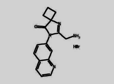 Br.NCC1=NC2(CCC2)C(=O)N1c1ccc2cccnc2c1